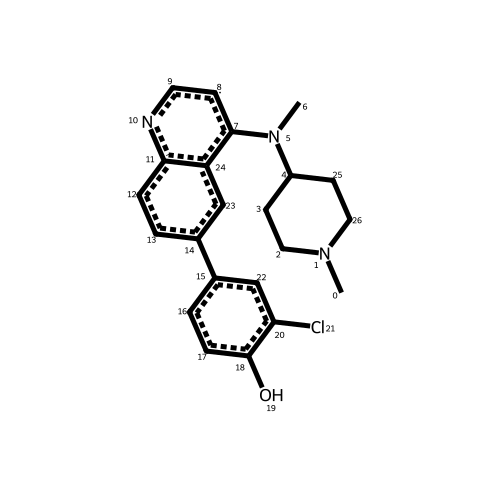 CN1CCC(N(C)c2[c]cnc3ccc(-c4ccc(O)c(Cl)c4)cc23)CC1